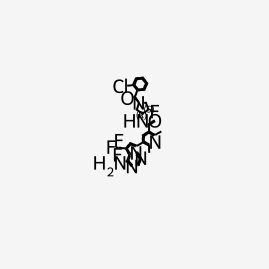 Cc1nc(C)c(-c2cc(C(F)(F)F)c3c(N)ncnn23)cc1C(=O)N[C@@H]1CN(C(=O)c2ccccc2Cl)C[C@@H]1F